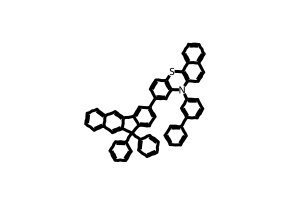 c1ccc(-c2cccc(N3c4cc(-c5ccc6c(c5)-c5cc7ccccc7cc5C6(c5ccccc5)c5ccccc5)ccc4Sc4c3ccc3ccccc43)c2)cc1